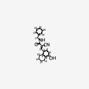 N#C/C(=C\c1ccc(O)c2c1CCCC2)C(=O)NCc1ccccc1